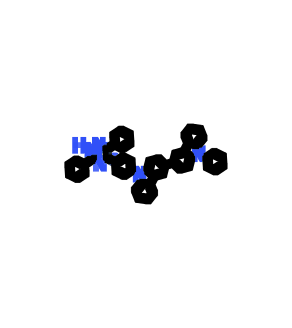 N/C(=N\C(c1ccc(-n2c3ccccc3c3cc(-c4ccc5c(c4)c4ccccc4n5-c4ccccc4)ccc32)cc1)[C@H](N)c1ccccc1)c1ccccc1